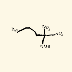 CNCCC(NC)([N+](=O)[O-])[N+](=O)[O-]